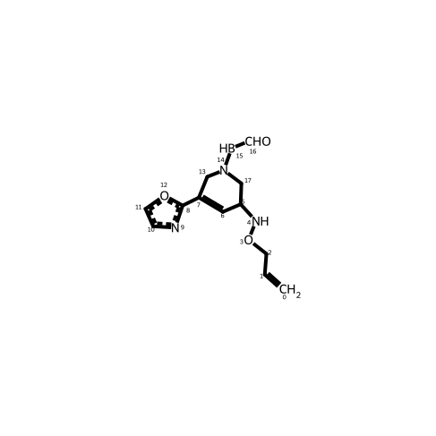 C=CCONC1C=C(c2ncco2)CN(BC=O)C1